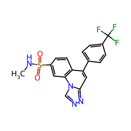 CNS(=O)(=O)c1ccc2c(-c3ccc(C(F)(F)F)cc3)cc3nncn3c2c1